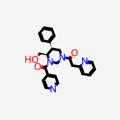 O=C(Cc1ccccn1)N1C[C@@H](c2ccccc2)[C@H](CO)N(C(=O)c2ccncc2)C1